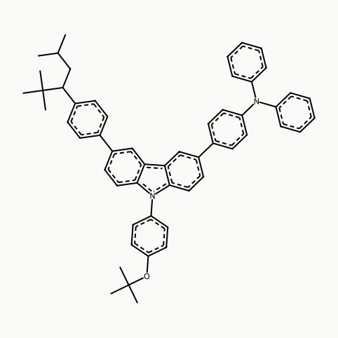 CC(C)CC(c1ccc(-c2ccc3c(c2)c2cc(-c4ccc(N(c5ccccc5)c5ccccc5)cc4)ccc2n3-c2ccc(OC(C)(C)C)cc2)cc1)C(C)(C)C